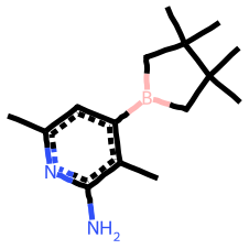 Cc1cc(B2CC(C)(C)C(C)(C)C2)c(C)c(N)n1